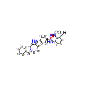 O=C(O)Nc1ccccc1NC(=O)c1ccc(NC2CCCN(CC3CCCCC3)CC2)cc1